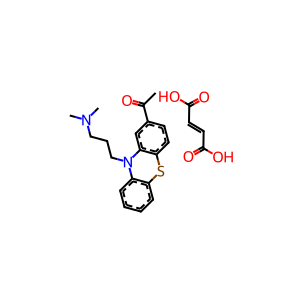 CC(=O)c1ccc2c(c1)N(CCCN(C)C)c1ccccc1S2.O=C(O)C=CC(=O)O